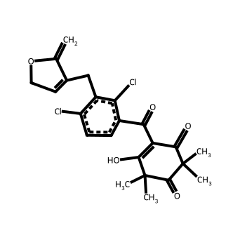 C=C1OCC=C1Cc1c(Cl)ccc(C(=O)C2=C(O)C(C)(C)C(=O)C(C)(C)C2=O)c1Cl